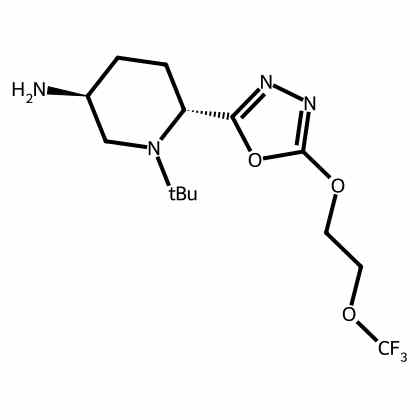 CC(C)(C)N1C[C@@H](N)CC[C@@H]1c1nnc(OCCOC(F)(F)F)o1